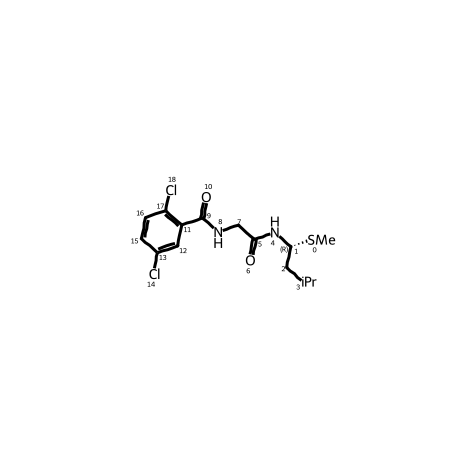 CS[C@H](CC(C)C)NC(=O)CNC(=O)c1cc(Cl)ccc1Cl